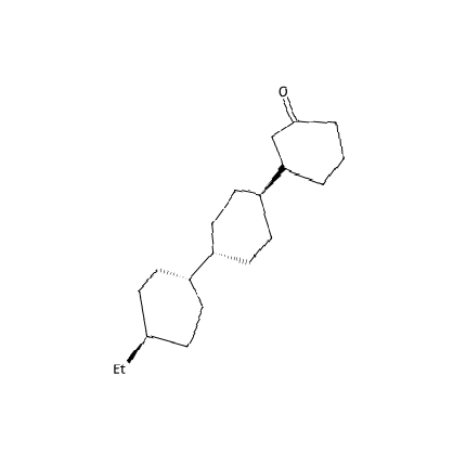 CC[C@H]1CC[C@H]([C@H]2CC[C@H](C3CCCC(=O)C3)CC2)CC1